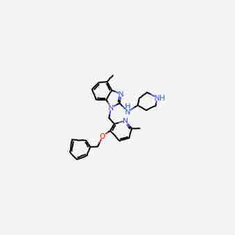 Cc1ccc(OCc2ccccc2)c(Cn2c(NC3CCNCC3)nc3c(C)cccc32)n1